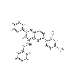 Cc1ccc(-c2ccc3nc(-c4cccnc4)nc(NCc4ccccn4)c3c2)c(Cl)c1